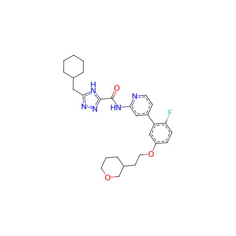 O=C(Nc1cc(-c2cc(OCCC3CCCOC3)ccc2F)ccn1)c1nnc(CC2CCCCC2)[nH]1